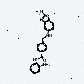 Nc1nc2cc(NCc3ccc(C(=O)Nc4ccccc4N)cc3)ccc2s1